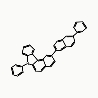 c1ccc(-c2ccc3cc(-c4ccc5ccc6c(c5c4)c4ccccc4n6-c4ccccc4)ccc3c2)cc1